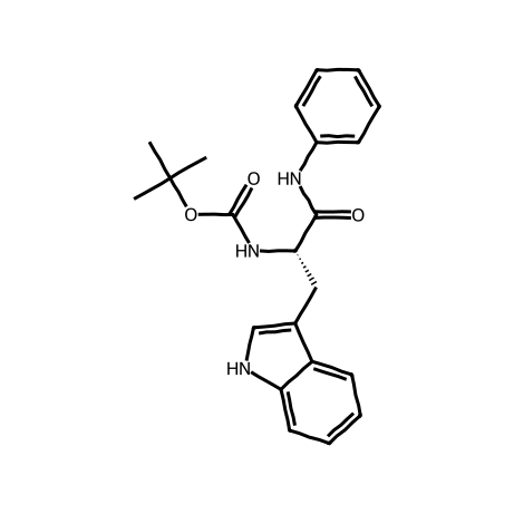 CC(C)(C)OC(=O)N[C@@H](Cc1c[nH]c2ccccc12)C(=O)Nc1ccccc1